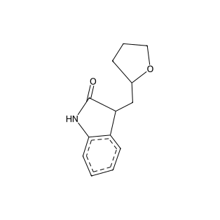 O=C1Nc2ccccc2C1CC1CCCO1